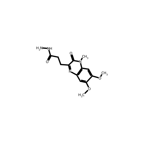 COc1cc2nc(CCC(=O)NN)c(=O)n(C)c2cc1OC